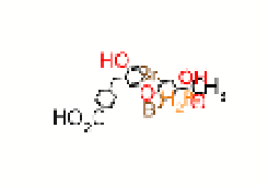 CC(O)([PH2]=O)c1cc(Br)c(Oc2ccc(O)c(Cc3ccc(C(=O)O)cc3)c2)c(Br)c1